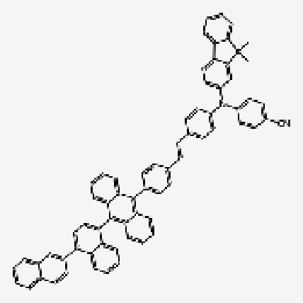 CC1(C)c2ccccc2-c2ccc(N(c3ccc(C#N)cc3)c3ccc(/C=C/c4ccc(-c5c6ccccc6c(-c6ccc(-c7ccc8ccccc8c7)c7ccccc67)c6ccccc56)cc4)cc3)cc21